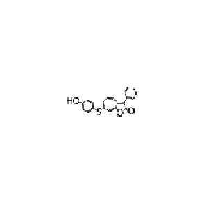 O=c1oc2cc(Sc3ccc(O)cc3)cccc-2c1-c1ccccc1